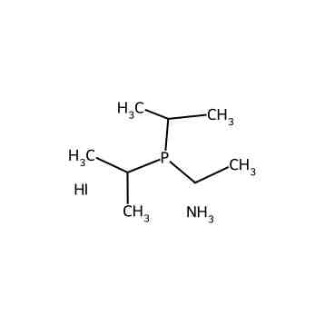 CCP(C(C)C)C(C)C.I.N